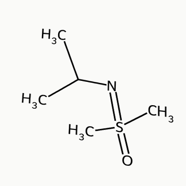 CC(C)N=S(C)(C)=O